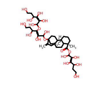 C=C1CC23CCC4[C@](C)(C(=O)OC(O)/C(O)=C(\O)C(O)CCO)CCC[C@@]4(C)[C@@H]2CCC1(OC(O)/C(O)=C(\OC(O)/C(O)=C(/O)C(O)CCO)C(O)CCO)C3